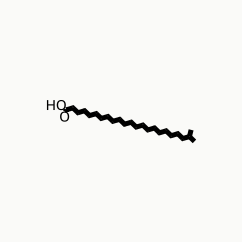 CC(C)CCCCCCCCCCCCCCCCCCCCC(=O)O